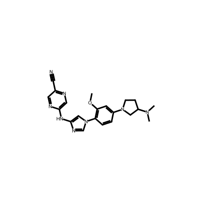 COc1cc(N2CCC(N(C)C)C2)ccc1-n1cnc(Nc2cnc(C#N)cn2)c1